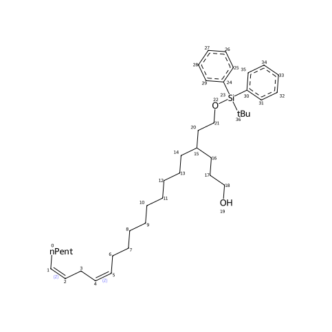 CCCCC/C=C\C/C=C\CCCCCCCCCC(CCCO)CCO[Si](c1ccccc1)(c1ccccc1)C(C)(C)C